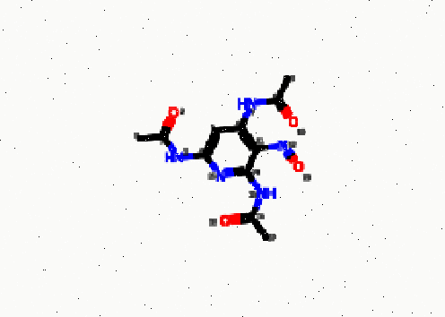 CC(=O)Nc1cc(NC(C)=O)c(N=O)c(NC(C)=O)n1